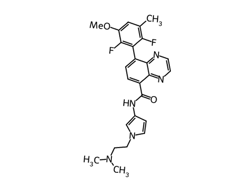 COc1cc(C)c(F)c(-c2ccc(C(=O)Nc3ccn(CCN(C)C)c3)c3nccnc23)c1F